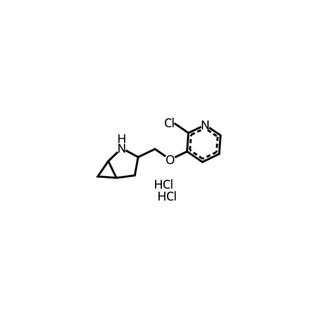 Cl.Cl.Clc1ncccc1OCC1CC2CC2N1